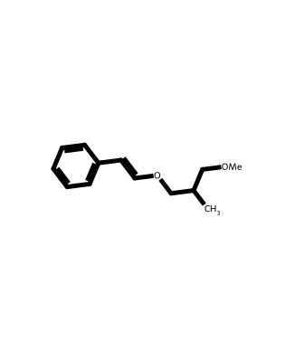 COCC(C)COC=Cc1ccccc1